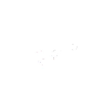 C[C@@](CCn1ccc(N2CC(c3ccccc3)C2)cc1=O)(C(=O)NO)S(C)(=O)=O